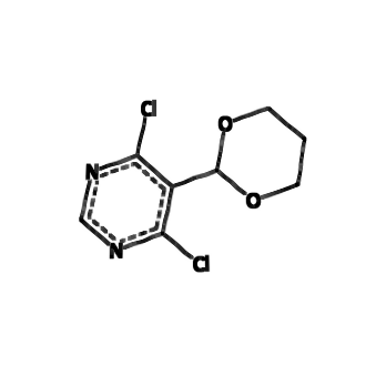 Clc1ncnc(Cl)c1C1OCCCO1